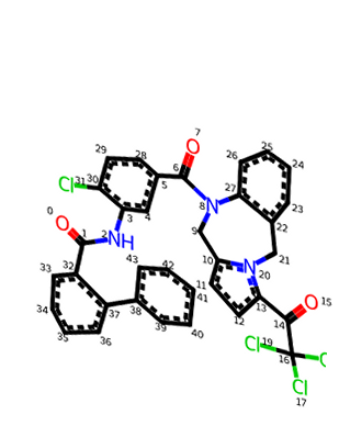 O=C(Nc1cc(C(=O)N2Cc3ccc(C(=O)C(Cl)(Cl)Cl)n3Cc3ccccc32)ccc1Cl)c1ccccc1-c1ccccc1